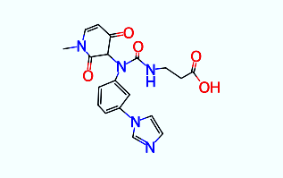 CN1C=CC(=O)C(N(C(=O)NCCC(=O)O)c2cccc(-n3ccnc3)c2)C1=O